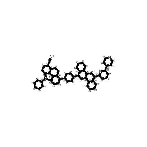 N#Cc1ccc2c3c1ccc1c(-c4ccc(-c5cc6c7ccccc7c(-c7cccc(-c8ccncc8)n7)cc6c6ccccc56)cc4)ccc(c13)n2-c1ccccc1